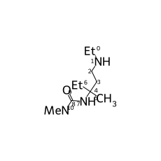 CCNCCC(C)(CC)NC(=O)NC